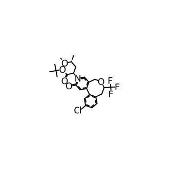 CO[C@@H](C)CC(C(=O)OC(C)(C)C)n1cc2c(cc1=O)-c1cc(Cl)ccc1CC(C(F)(F)F)OC2